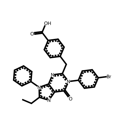 CCc1nc2c(=O)n(-c3ccc(Br)cc3)c(Cc3ccc(C(=O)O)cc3)nc2n1-c1ccccc1